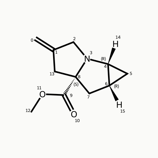 C=C1CN2[C@@H]3C[C@@H]3C[C@@]2(C(=O)OC)C1